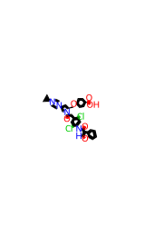 O=C(Nc1cc(Cl)c(CC(=O)N2C[C@@H](N3CCN(C4CC4)CC3)C[C@H]2CO[C@H]2CC[C@H](C(=O)O)CC2)cc1Cl)c1coc2ccccc12